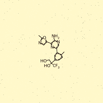 Cc1ncc(-c2nc(-c3cc(C(O)(CO)C(F)(F)F)ccc3C)cnc2N)o1